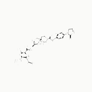 Nc1nc(N)c(C(=O)/N=C2\NCC3(CCN(C(=O)Cc4ccc(N5CCNC5=O)cc4)CC3)N2)nc1CI